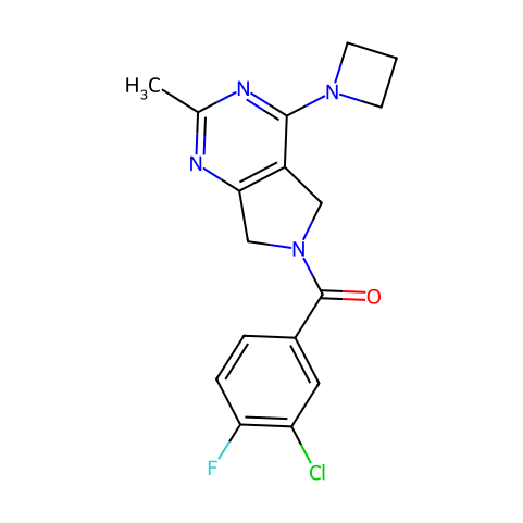 Cc1nc2c(c(N3CCC3)n1)CN(C(=O)c1ccc(F)c(Cl)c1)C2